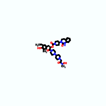 Bc1cc(C[C@@H](OC(=O)N2CCC(N3CCc4ccccc4NC3=O)CC2)C(=O)N2CCN(C3CCN(CC(=O)N(C)O)CC3)CC2)cc(C=C)c1O